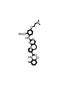 CCc1cccc(C)c1NC(=O)c1ccn2c1CCc1cnc(Nc3ccc(OCCN(C)C)cc3OC)nc1-2